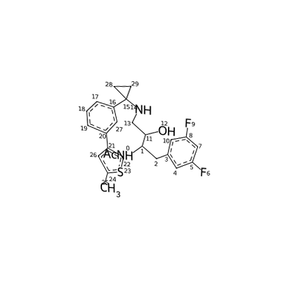 CC(=O)NC(Cc1cc(F)cc(F)c1)C(O)CNC1(c2cccc(-c3csc(C)c3)c2)CC1